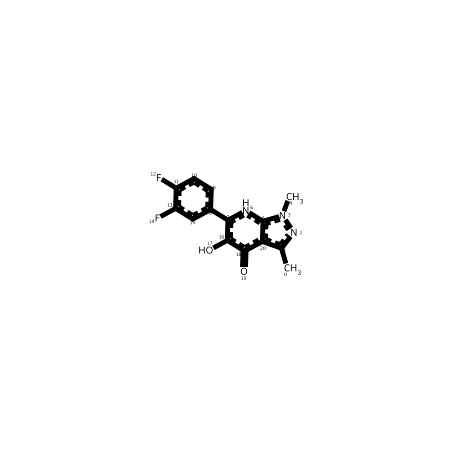 Cc1nn(C)c2[nH]c(-c3ccc(F)c(F)c3)c(O)c(=O)c12